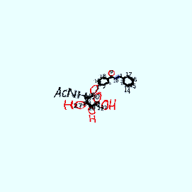 CC(=O)N[C@@H]1[C@H](Oc2ccc(C(=O)/C=C/c3ccccc3)cc2)O[C@H](CO)[C@@H](O)[C@H]1O